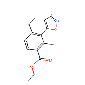 CCOC(=O)c1ccc(CC)c(-c2cc(C)no2)c1C